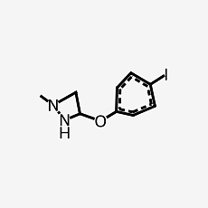 CN1CC(Oc2ccc(I)cc2)N1